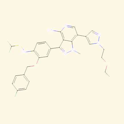 C[C@H](Oc1cc(-c2nn(C)c3c(-c4cnn(CCOCC(=O)O)c4)cnc(N)c23)ccc1NSC(F)F)c1ccc(F)cc1